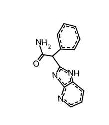 NC(=O)C(c1ccccc1)c1nc2ncccc2[nH]1